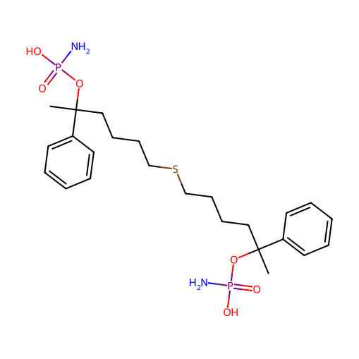 CC(CCCCSCCCCC(C)(OP(N)(=O)O)c1ccccc1)(OP(N)(=O)O)c1ccccc1